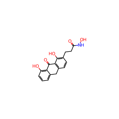 O=C(CCc1ccc2c(c1O)C(=O)c1c(O)cccc1C2)NO